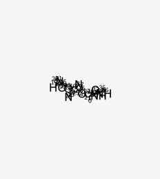 Cc1cc(Oc2ccnc3cc(OCC(O)CN4CCCC4)c(C#N)cc23)ccc1NC(=O)NC1CC1